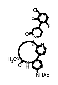 CC(=O)Nc1ccc2c(c1)NC(=O)[C@H](C)CCCC[C@H](N1CCC(c3c(F)ccc(Cl)c3F)=CC1=O)c1cc-2ccn1